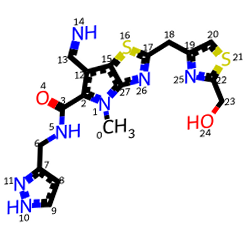 Cn1c(C(=O)NCc2cc[nH]n2)c(C=N)c2sc(Cc3csc(CO)n3)nc21